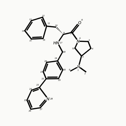 CN(C)C1CCN(C(=O)[C@@H](Cc2ccccc2)NCc2ccc(-c3ccccn3)cc2)C1